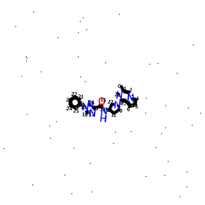 Cc1cn2cccc2c(N2CCC(NC(=O)c3ncn(-c4ccccc4)n3)C2)n1